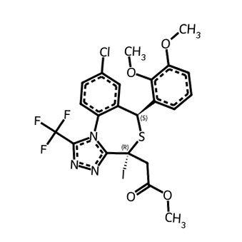 COC(=O)C[C@]1(I)S[C@H](c2cccc(OC)c2OC)c2cc(Cl)ccc2-n2c(C(F)(F)F)nnc21